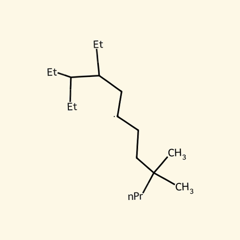 CCCC(C)(C)CC[CH]CC(CC)C(CC)CC